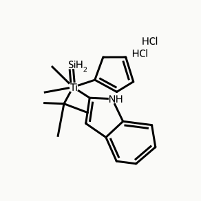 C[C](C)(C)[Ti]([CH3])([CH3])(=[SiH2])([C]1=CC=CC1)[c]1cc2ccccc2[nH]1.Cl.Cl